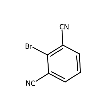 N#Cc1cccc(C#N)c1Br